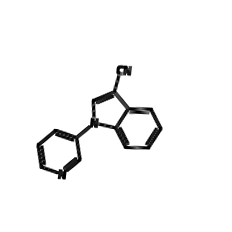 N#Cc1cn(-c2cccnc2)c2ccccc12